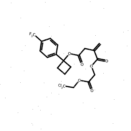 C=C(CC(=O)OC1(c2ccc(C(F)(F)F)cc2)CCC1)C(=O)OCC(=O)OCC(Cl)(Cl)Cl